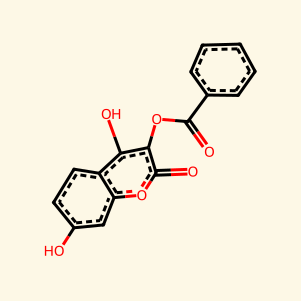 O=C(Oc1c(O)c2ccc(O)cc2oc1=O)c1ccccc1